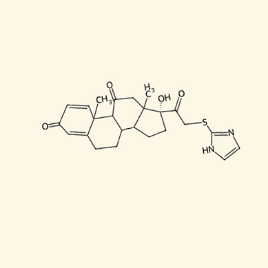 CC12C=CC(=O)C=C1CCC1C2C(=O)CC2(C)C1CC[C@]2(O)C(=O)CSc1ncc[nH]1